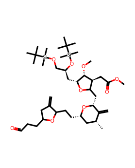 C=C1CC(CCC=O)OC1CC[C@H]1C[C@@H](C)C(=C)[C@@H](CC2O[C@H](C[C@@H](CO[Si](C)(C)C(C)(C)C)O[Si](C)(C)C(C)(C)C)[C@H](OC)[C@H]2CC(=O)OC)O1